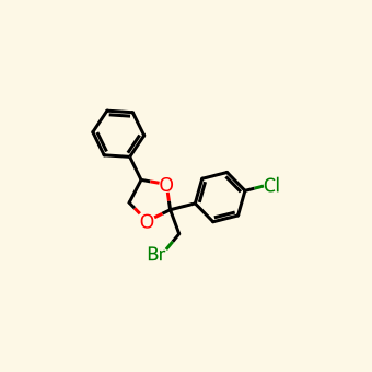 Clc1ccc(C2(CBr)OCC(c3ccccc3)O2)cc1